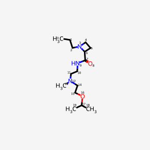 CCCN1CCC1C(=O)NCCN(C)CCOC(C)C